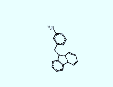 Nc1cccc(CN2c3ccccc3C3C=CC=CC32)c1